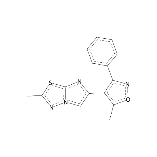 Cc1nn2cc(-c3c(-c4ccccc4)noc3C)nc2s1